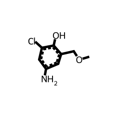 COCc1cc(N)cc(Cl)c1O